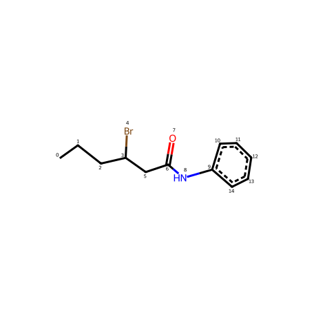 CCCC(Br)CC(=O)Nc1ccccc1